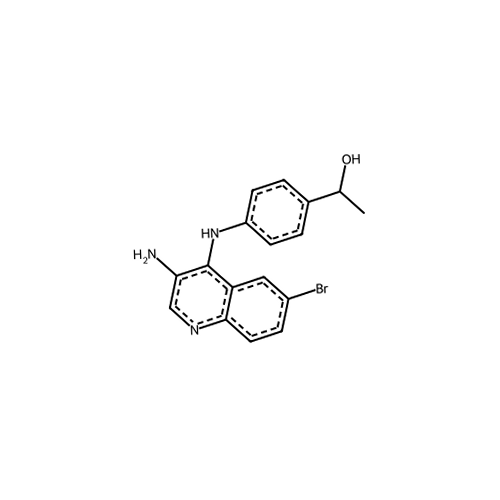 CC(O)c1ccc(Nc2c(N)cnc3ccc(Br)cc23)cc1